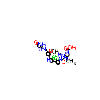 COc1cc(-c2nccc(-c3cccc(NC(=O)c4nc5c(n4C)CCN(C(=O)CO)C5)c3Cl)c2Cl)ccc1CNC[C@@H]1CCC(=O)N1